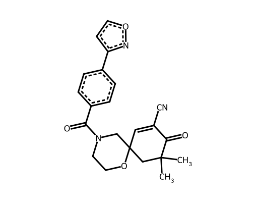 CC1(C)CC2(C=C(C#N)C1=O)CN(C(=O)c1ccc(-c3ccon3)cc1)CCO2